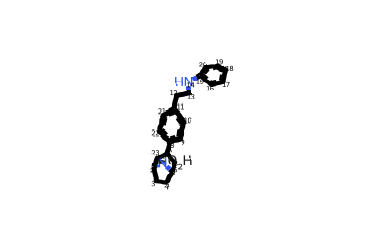 O=C(O)N1C2CCC1CC(c1ccc(CCNc3ccccc3)cc1)C2